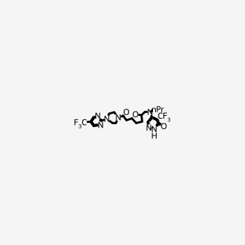 CCCN(CC1CCC(CC(=O)N2CCN(c3ncc(C(F)(F)F)cn3)CC2)O1)c1cn[nH]c(=O)c1C(F)(F)F